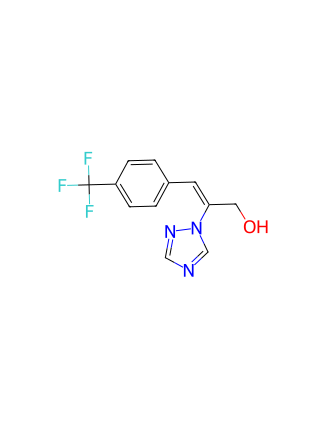 OCC(=Cc1ccc(C(F)(F)F)cc1)n1cncn1